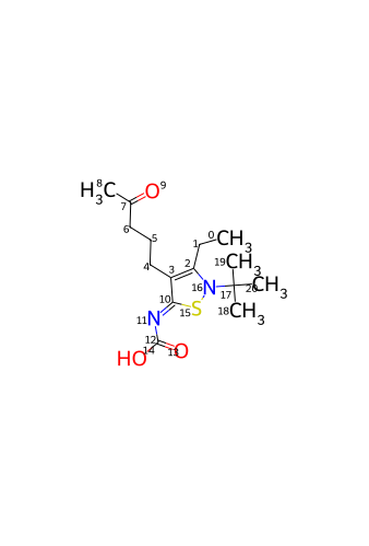 CCc1c(CCCC(C)=O)c(=NC(=O)O)sn1C(C)(C)C